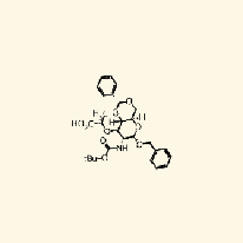 C[C@@H](O[C@@H]1[C@@H](NC(=O)OC(C)(C)C)[C@H](OCc2ccccc2)O[C@@H]2CO[C@@H](c3ccccc3)O[C@@H]12)C(=O)O